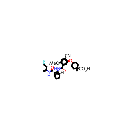 C=C(CCF)NC(=O)[C@H]1C2CC[C@@H](C2)C1NC(=O)c1cc(OC2CCC(C)(C(=O)O)CC2)c(C#N)cc1OC